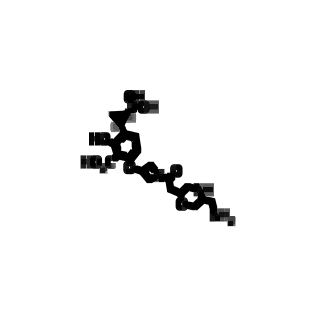 NCC1COC(CC(=O)N2CC(Oc3ccc([C@H]4C[C@H]4B(O)O)c(O)c3C(=O)O)C2)CN1